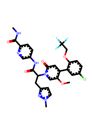 CNC(=O)c1ccc(NC(=O)C(Cc2ccn(C)n2)n2cc(OC)c(-c3cc(Cl)ccc3OCC(F)(F)F)cc2=O)cn1